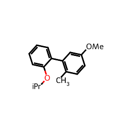 COc1ccc(C)c(-c2ccccc2OC(C)C)c1